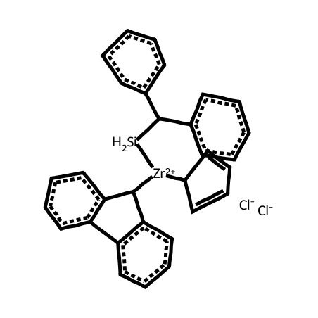 C1=C[CH]([Zr+2]([SiH2]C(c2ccccc2)c2ccccc2)[CH]2c3ccccc3-c3ccccc32)C=C1.[Cl-].[Cl-]